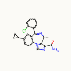 C[C@H]1N=C(c2ccccc2Cl)c2cc(C3CC3)ccc2-n2cnc(C(N)=O)c21